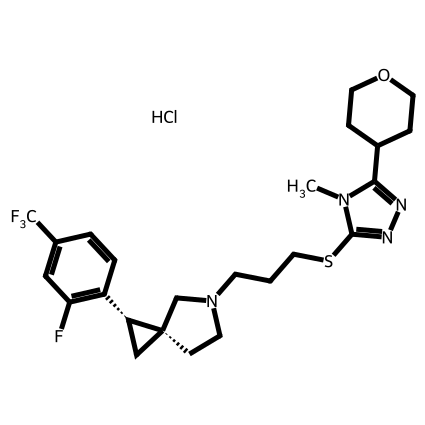 Cl.Cn1c(SCCCN2CC[C@@]3(C[C@@H]3c3ccc(C(F)(F)F)cc3F)C2)nnc1C1CCOCC1